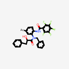 CC(=O)c1ccc(NC(=O)c2c(F)c(F)c(F)c(F)c2F)c(N(Cc2ccccc2)C(=O)C(O)Cc2ccccc2)c1